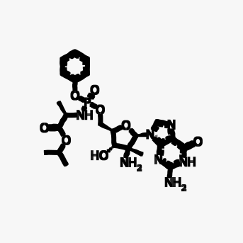 CC(C)OC(=O)[C@@H](C)NP(=O)(OC[C@H]1O[C@@H](n2cnc3c(=O)[nH]c(N)nc32)[C@](C)(N)[C@@H]1O)Oc1ccccc1